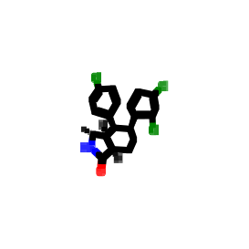 C[C@H]1NC(=O)[C@@H]2CC[C@H](c3ccc(Cl)cc3Cl)[C@H](c3ccc(Cl)cc3)[C@H]12